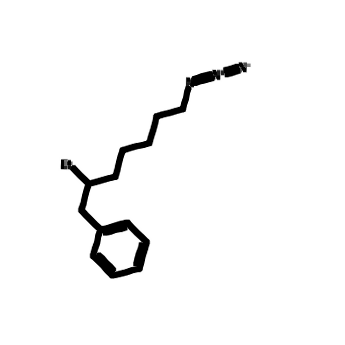 CCC(CCCCCN=[N+]=[N-])Cc1ccccc1